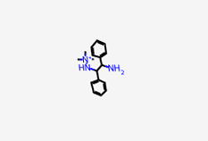 C[N+](C)(C)NC(c1ccccc1)C(N)c1ccccc1